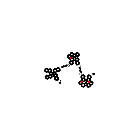 C=COc1ccc2cc(C3(C4C=CC5C=C(O/C=C/C=C/Oc6ccc7cc(C8(c9ccc%10cc(O/C=C/C=C/Oc%11ccc%12cc([C@@]%13(c%14ccc%15cc(OC=C)ccc%15c%14)c%14c(ccc%15ccccc%14%15)C%14C=Cc%15ccccc%15C%14%13)ccc%12c%11)ccc%10c9)c9ccccc9-c9ccc%10ccccc%10c98)ccc7c6)C=CC5C4)c4ccc5ccccc5c4-c4c3ccc3ccccc43)ccc2c1